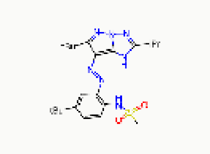 CC(C)c1nn2nc(C(C)(C)C)c(N=Nc3cc(C(C)(C)C)ccc3NS(C)(=O)=O)c2[nH]1